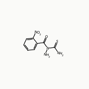 NC(=S)N(N)C(=O)c1ccccc1[N+](=O)[O-]